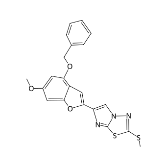 COc1cc(OCc2ccccc2)c2cc(-c3cn4nc(SC)sc4n3)oc2c1